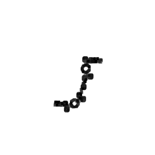 COC(=O)[C@@H]1CCC[C@@H](C(=O)OCCOCCOC(=O)[C@H]2CCC[C@H](C(=O)OC)CC2)CC1